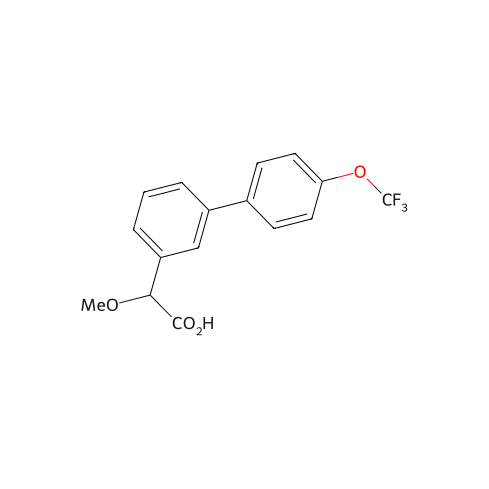 COC(C(=O)O)c1cccc(-c2ccc(OC(F)(F)F)cc2)c1